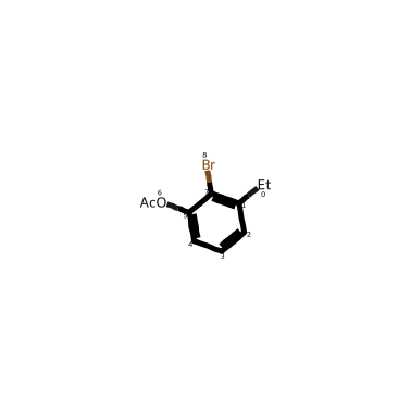 CCc1cccc(OC(C)=O)c1Br